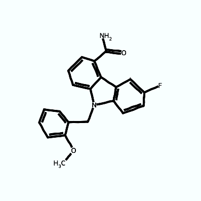 COc1ccccc1Cn1c2ccc(F)[c]c2c2c(C(N)=O)cccc21